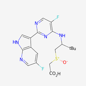 CC(C)(C)C(C[S@+]([O-])CC(=O)O)Nc1nc(-c2c[nH]c3ncc(F)cc23)ncc1F